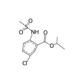 CC(C)OC(=O)c1cc(Cl)ccc1NS(C)(=O)=O